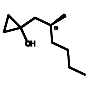 CCCC[C@H](C)CC1(O)CC1